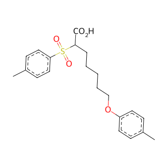 Cc1ccc(OCCCCCC(C(=O)O)S(=O)(=O)c2ccc(C)cc2)cc1